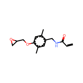 C=CC(=O)NCc1cc(C)c(OCC2CO2)cc1C